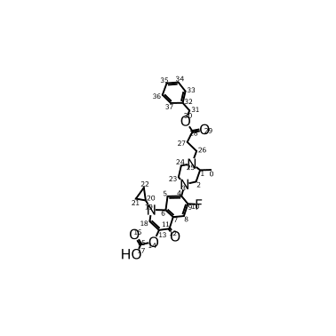 CC1CN(c2cc3c(cc2F)c(=O)c(OC(=O)O)cn3C2CC2)CCN1CCC(=O)OCc1ccccc1